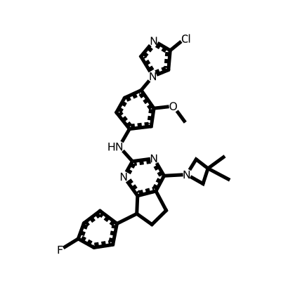 COc1cc(Nc2nc3c(c(N4CC(C)(C)C4)n2)CCC3c2ccc(F)cc2)ccc1-n1cnc(Cl)c1